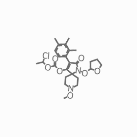 CON1CCC2(CC1)C(OC(=O)OC(C)Cl)=C(c1ccc(C)c(C)c1C)C(=O)N2OC1CCCO1